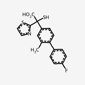 Cc1cc(C(S)(C(=O)O)c2nccs2)ccc1-c1ccc(F)cc1